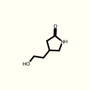 O=C1CC(CCO)CN1